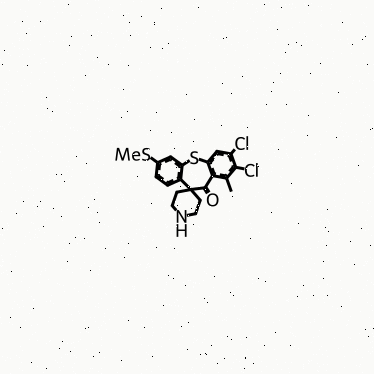 CSc1ccc2c(c1)Sc1cc(Cl)c(Cl)c(C)c1C(=O)C21CCNCC1